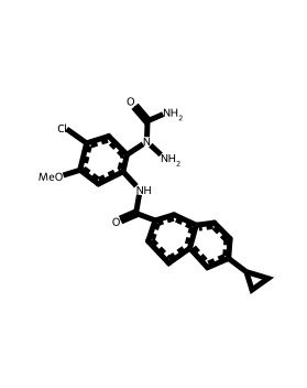 COc1cc(NC(=O)c2ccc3cc(C4CC4)ccc3c2)c(N(N)C(N)=O)cc1Cl